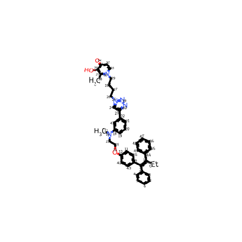 CC/C(=C(\c1ccccc1)c1ccc(OCCN(C)c2cccc(-c3cn(CCCCn4ccc(=O)c(O)c4C)nn3)c2)cc1)c1ccccc1